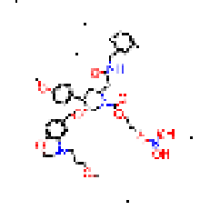 COCCCN1CCOc2ccc(COC3CN(C(=O)OCCCON(O)O)C(CC(=O)NCc4ccccc4)CC3c3ccc(OC)cc3)cc21